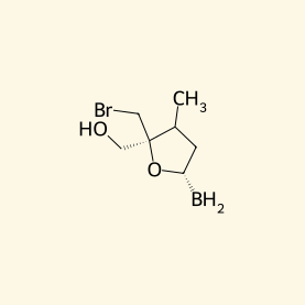 B[C@H]1CC(C)[C@](CO)(CBr)O1